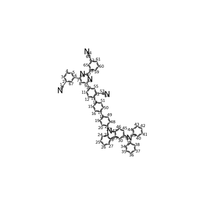 N#Cc1cccc(-c2cc(-c3ccc(-c4ccc(-c5ccc(-n6c7ccccc7c7cc(N(c8ccccc8)c8ccccc8)ccc76)cc5)cc4)c(C#N)c3)nc(-c3cccc(C#N)c3)n2)c1